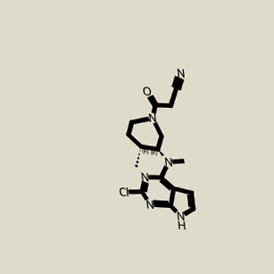 C[C@@H]1CCN(C(=O)CC#N)C[C@@H]1N(C)c1nc(Cl)nc2[nH]ccc12